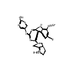 CNc1cc(F)cc2c1[nH]c1nc(Oc3cnc(C(C)(C)C)nc3)nc(N3CC4CCNC4C3)c12